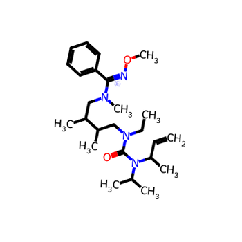 C=CC(C)N(C(=O)N(CC)CC(C)C(C)CN(C)/C(=N/OC)c1ccccc1)C(C)C